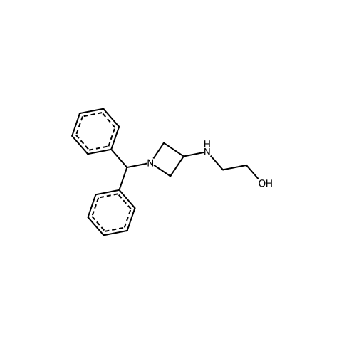 OCCNC1CN(C(c2ccccc2)c2ccccc2)C1